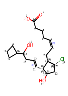 O=C(O)CCC/C=C\C[C@@H]1[C@@H](/C=C/CC(O)C2CCC2)[C@H](O)C[C@H]1Cl